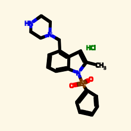 Cc1cc2c(CN3CCNCC3)cccc2n1S(=O)(=O)c1ccccc1.Cl